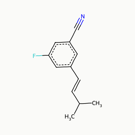 CC(C)/C=C/c1cc(F)cc(C#N)c1